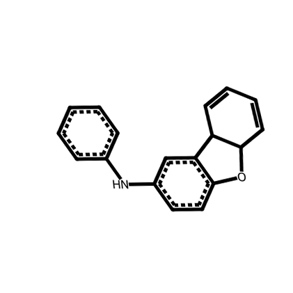 C1=CC2Oc3ccc(Nc4ccccc4)cc3C2C=C1